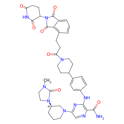 CN1CCN([C@@H]2CCCN(c3cnc(C(N)=O)c(Nc4ccc(C5CCN(C(=O)CCc6cccc7c6C(=O)N(C6CCC(=O)NC6=O)C7=O)CC5)cc4)n3)C2)C1=O